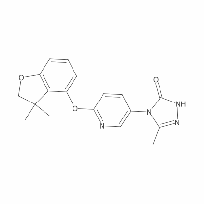 Cc1n[nH]c(=O)n1-c1ccc(Oc2cccc3c2C(C)(C)CO3)nc1